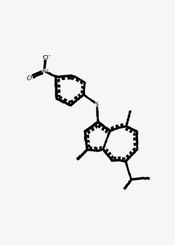 Cc1cc(Sc2ccc([N+](=O)[O-])cc2)c2c(C)ccc(C(C)C)cc1-2